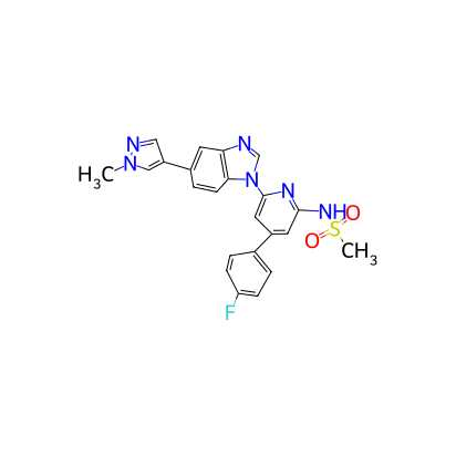 Cn1cc(-c2ccc3c(c2)ncn3-c2cc(-c3ccc(F)cc3)cc(NS(C)(=O)=O)n2)cn1